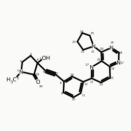 CN1CCC(O)(C#Cc2cccc(-c3ccc4ncnc(N5CCCC5)c4n3)c2)C1=O